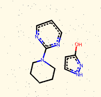 Oc1cc[nH]n1.c1cnc(N2CCCCC2)nc1